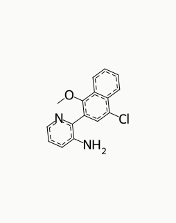 COc1c(-c2ncccc2N)cc(Cl)c2ccccc12